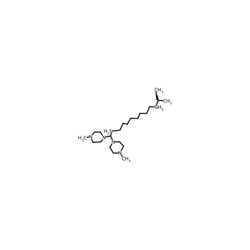 CC=C(C)[SiH2]CCCCCCCC[SiH2]C(N1CCN(C)CC1)N1CCN(C)CC1